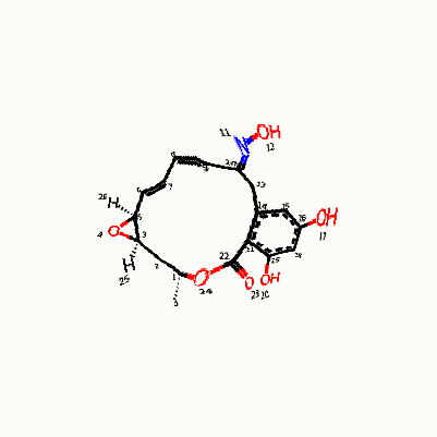 C[C@@H]1C[C@H]2O[C@H]2/C=C/C=C/C(=NO)Cc2cc(O)cc(O)c2C(=O)O1